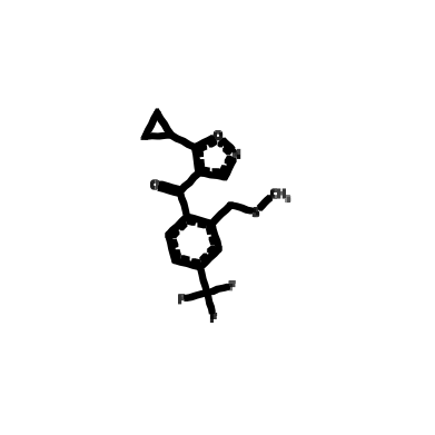 CSCc1cc(C(F)(F)F)ccc1C(=O)c1cnoc1C1CC1